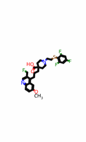 COc1ccc2ncc(CF)c(CCCC3(C(=O)O)CCN(CCSc4c(F)cc(F)cc4F)CC3)c2c1